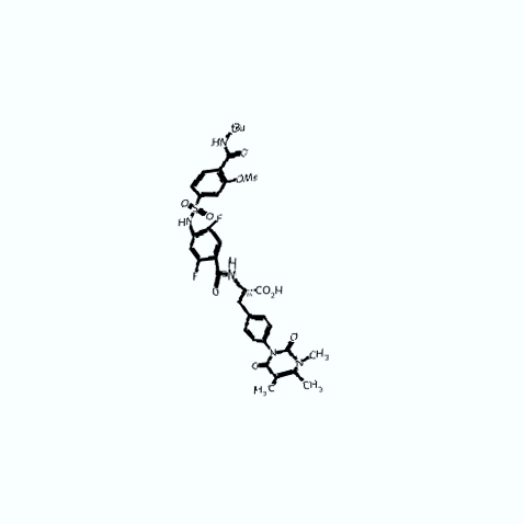 COc1cc(S(=O)(=O)Nc2cc(F)c(C(=O)N[C@@H](Cc3ccc(-n4c(=O)c(C)c(C)n(C)c4=O)cc3)C(=O)O)cc2F)ccc1C(=O)NC(C)(C)C